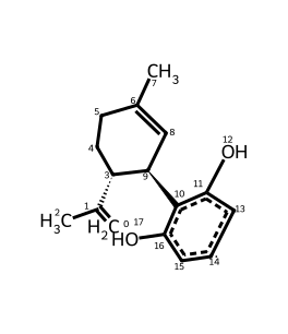 C=C(C)[C@@H]1CCC(C)=C[C@H]1c1c(O)c[c]cc1O